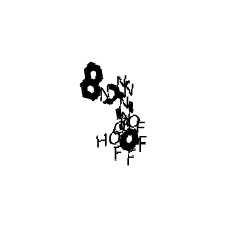 O=S(=O)(c1c(O)c(F)c(F)c(F)c1F)N1CCN(c2ncnc3c2CCN(c2cccc4ccccc24)C3)CC1